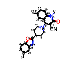 Cc1ccc2oc(C3CCN(c4c(C#N)c(=O)n(C)c5ccc(C)cc45)CC3)nc2c1